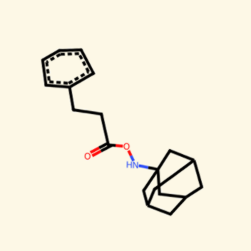 O=C(CCc1ccccc1)ONC12CC3CC(CC(C3)C1)C2